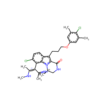 CN/C(C)=C(\C(C)=N)c1c(Cl)ccc2c(CCCOc3cc(C)c(Cl)c(C)c3)c3n(c12)[C@H](C)CNC3=O